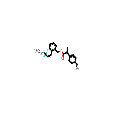 CC(C)Cc1ccc(C(C)C(=O)OCc2ccccc2/C=C\C(F)(F)C(=O)O)cc1